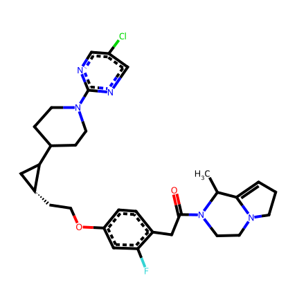 CC1C2=CCCN2CCN1C(=O)Cc1ccc(OCC[C@@H]2CC2C2CCN(c3ncc(Cl)cn3)CC2)cc1F